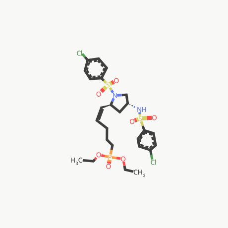 CCOP(=O)(CCC/C=C\[C@@H]1C[C@@H](NS(=O)(=O)c2ccc(Cl)cc2)CN1S(=O)(=O)c1ccc(Cl)cc1)OCC